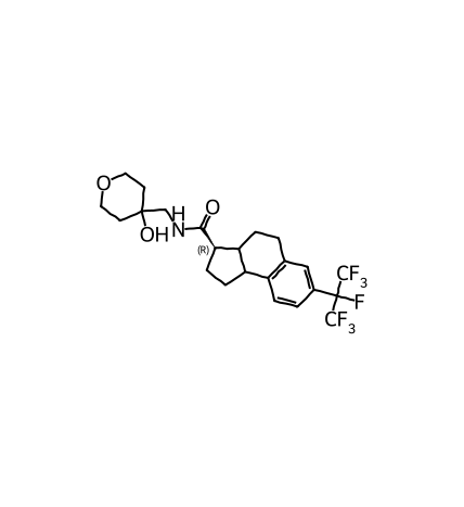 O=C(NCC1(O)CCOCC1)[C@@H]1CCC2c3ccc(C(F)(C(F)(F)F)C(F)(F)F)cc3CCC21